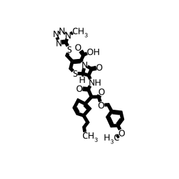 CCCC1C=CCC(C(C(=O)NC2C(=O)N3C(C(=O)O)=C(CSc4nnnn4C)CS[C@@H]23)C(=O)OCc2ccc(OC)cc2)=C1